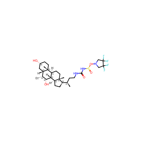 CC[C@H]1[C@@H](O)[C@@H]2[C@H](CC[C@]3(C)[C@@H]([C@H](C)CCNC(=O)NS(=O)ON4CC(F)(F)C(F)(F)C4)CC[C@@H]23)[C@@]2(C)CC[C@@H](O)C[C@@H]12